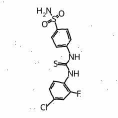 NS(=O)(=O)c1ccc(NC(=S)Nc2ccc(Cl)cc2F)cc1